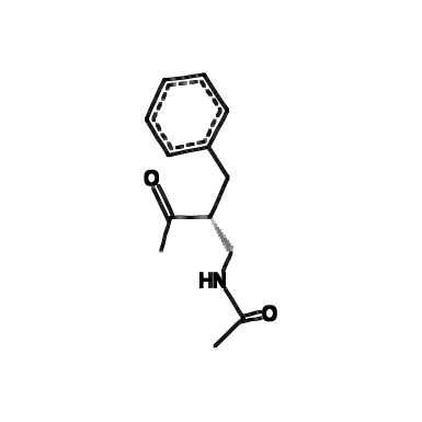 CC(=O)NC[C@@H](Cc1ccccc1)C(C)=O